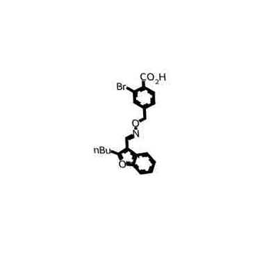 CCCCc1oc2ccccc2c1C=NOCc1ccc(C(=O)O)c(Br)c1